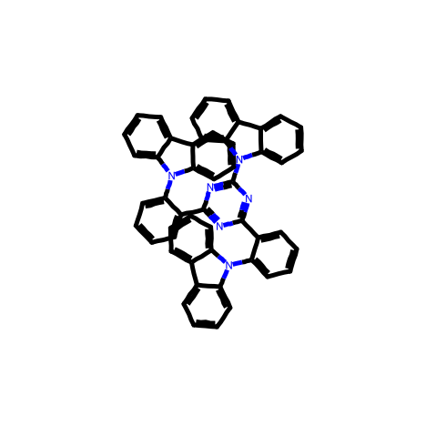 c1ccc(-n2c3ccccc3c3ccccc32)c(-c2nc(-c3ccccc3-n3c4ccccc4c4ccccc43)nc(-n3c4ccccc4c4ccccc43)n2)c1